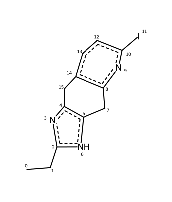 CCc1nc2c([nH]1)Cc1nc(I)ccc1C2